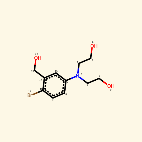 OCCN(CCO)c1ccc(Br)c(CO)c1